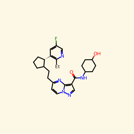 CCc1ncc(F)cc1[C@H]1CCCC1CCc1ccn2ncc(C(=O)NC3CCC(O)CC3)c2n1